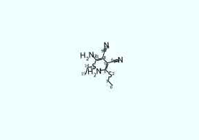 CCSC(N)=C(C#N)C(C#N)=C(N)SCC